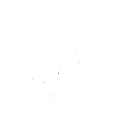 COc1ccccc1Cn1cnc(C(O)N[C@H]2CCn3nccc3N(C)C2=O)n1